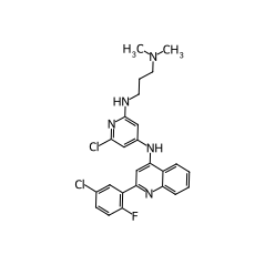 CN(C)CCCNc1cc(Nc2cc(-c3cc(Cl)ccc3F)nc3ccccc23)cc(Cl)n1